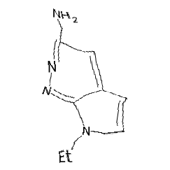 CCn1ccc2cc(N)nnc21